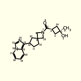 C[C@]1(O)C[C@@H](C(=O)N2CC3(CCC(c4ncn5ccccc45)C3)C2)C1